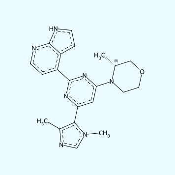 Cc1ncn(C)c1-c1cc(N2CCOC[C@H]2C)nc(-c2ccnc3[nH]ccc23)n1